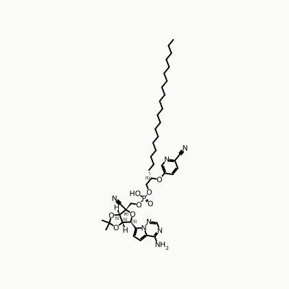 CCCCCCCCCCCCCCCCCCCC[C@@H](COP(=O)(O)OC[C@@]1(C#N)O[C@@H](c2ccc3c(N)ncnn23)[C@@H]2OC(C)(C)O[C@@H]21)Oc1ccc(C#N)nc1